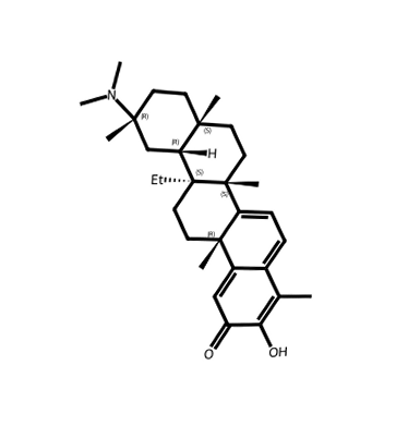 CC[C@@]12CC[C@@]3(C)C4=CC(=O)C(O)=C(C)C4=CC=C3[C@@]1(C)CC[C@@]1(C)CC[C@@](C)(N(C)C)C[C@H]12